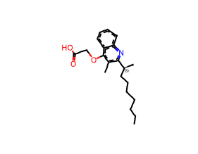 CCCCCCC[C@H](C)c1nc2ccccc2c(OCC(=O)O)c1C